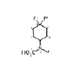 CN(C(=O)O)C1CCC(F)(F)CC1